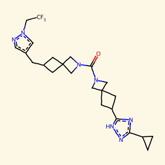 O=C(N1CC2(CC(Cc3cnn(CC(F)(F)F)c3)C2)C1)N1CC2(CC(c3nc(C4CC4)n[nH]3)C2)C1